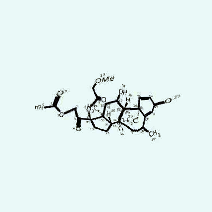 CCCC(=O)OCC(=O)[C@@]1(OC(=O)COC)CC[C@H]2[C@@H]3CC(C)C4=CC(=O)C=C[C@]4(C)[C@H]3C(O)C[C@@]21C